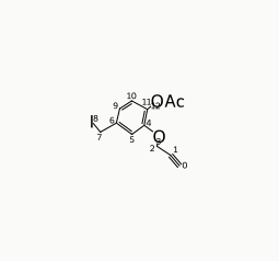 C#CCOc1cc(CI)ccc1OC(C)=O